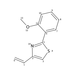 C=Cc1csc(-c2ccccc2OC)n1